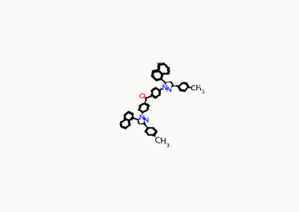 Cc1ccc(C2=NN(c3ccc(C(=O)c4ccc(N5N=C(c6ccc(C)cc6)CC5c5cccc6ccccc56)cc4)cc3)C(c3cccc4ccccc34)C2)cc1